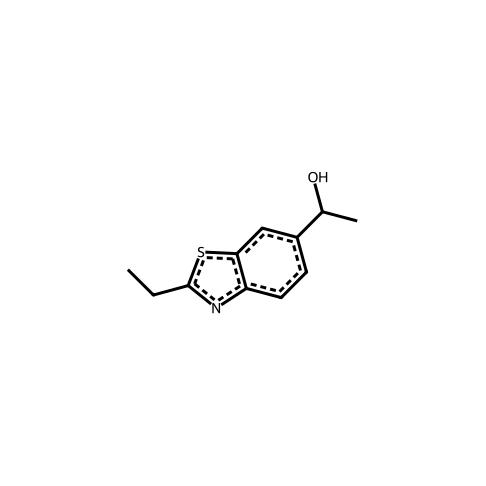 CCc1nc2ccc(C(C)O)cc2s1